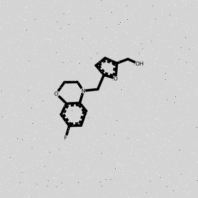 OCc1ccc(CN2CCOc3cc(F)ccc32)o1